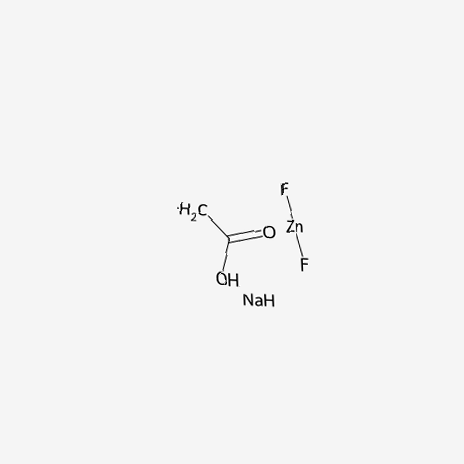 [CH2]C(=O)O.[F][Zn][F].[NaH]